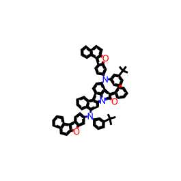 CC(C)(C)c1cccc(N(c2ccc3c(c2)oc2ccc4ccccc4c23)c2cc3c(c4ccccc24)c2ccc(N(c4cccc(C(C)(C)C)c4)c4ccc5c(c4)oc4ccc6ccccc6c45)c4c5c6ccccc6oc5n3c24)c1